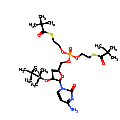 CC(C)(C)C(=O)SCCOP(=O)(OCCSC(=O)C(C)(C)C)OCC1=CC(O[Si](C)(C)C(C)(C)C)C(n2ccc(N)nc2=O)O1